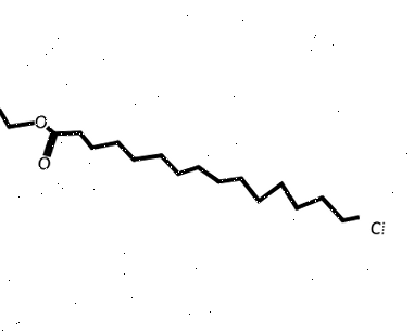 CCCCCCCCCCCCCCCC(=O)OCC.[C]